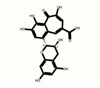 O=C(O)c1cc(O)c(=O)c2c(O)c(O)cc([C@H]3Oc4cc(O)cc(O)c4C[C@@H]3O)c2c1